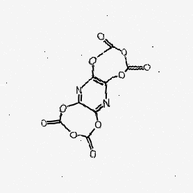 O=c1oc(=O)oc2nc3oc(=O)oc(=O)oc3nc2o1